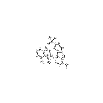 COc1ccc(C(=O)[NH+]([O-])c2c(Cl)cncc2Cl)c2c1oc1ccc(C(F)(F)F)cc12